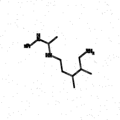 CCCNC(C)NCCC(C)C(C)CN